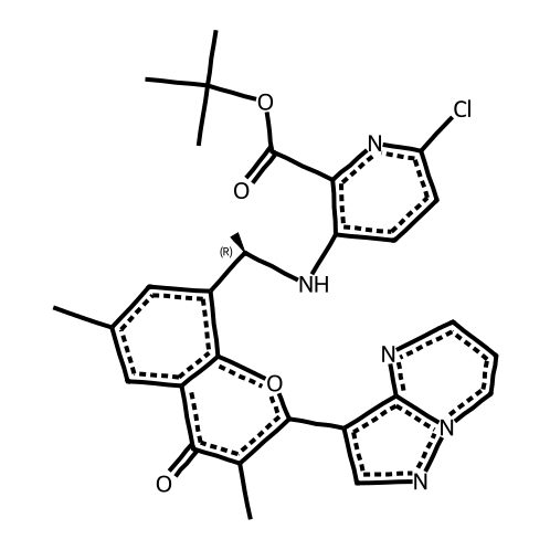 Cc1cc([C@@H](C)Nc2ccc(Cl)nc2C(=O)OC(C)(C)C)c2oc(-c3cnn4cccnc34)c(C)c(=O)c2c1